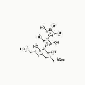 CCCCCCCCCCCCCCCCCC(=O)O.OCC(O)CO.OCC(O)CO.OCC(O)CO